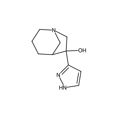 OC1(c2cc[nH]n2)CN2CCCC1C2